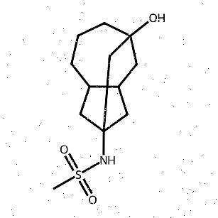 CS(=O)(=O)NC12CC3CCCC(O)(CC3C1)C2